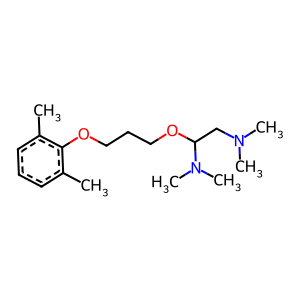 Cc1cccc(C)c1OCCCOC(CN(C)C)N(C)C